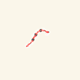 C=COOCCCOc1ccc(C(=O)Oc2ccc(OCOc3ccc(OCCCOC(=O)C=C)cc3)c(C)c2)cc1